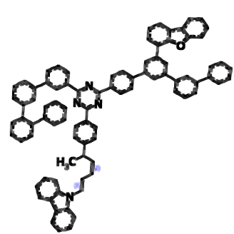 CC(/C=C\C=C\n1c2ccccc2c2ccccc21)c1ccc(-c2nc(-c3ccc(-c4cc(-c5cccc(-c6ccccc6)c5)cc(-c5cccc6c5oc5ccccc56)c4)cc3)nc(-c3cccc(-c4cccc(-c5ccccc5-c5ccccc5)c4)c3)n2)cc1